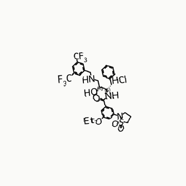 CCOc1cc(C(=O)N[C@@H](Cc2ccccc2)[C@H](O)CNCc2cc(C(F)(F)F)cc(C(F)(F)F)c2)cc(N2CCCS2(=O)=O)c1.Cl